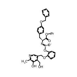 Cc1ncc(COc2ccccc2O[P+]([O-])=N[C@@H](Cc2ccc(OCc3ccccc3)cc2)C(=O)OC(C)C)c(CO)c1O